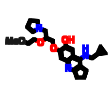 COCCOC(COc1cc2nc3c(c(NCC4CC4)c2cc1O)CCC3)CN1CCCC1